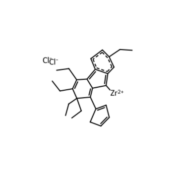 CCC1=C(CC)C(CC)(CC)C(C2=CC=CC2)=C2[C]([Zr+2])=c3cc(CC)ccc3=C12.[Cl-].[Cl-]